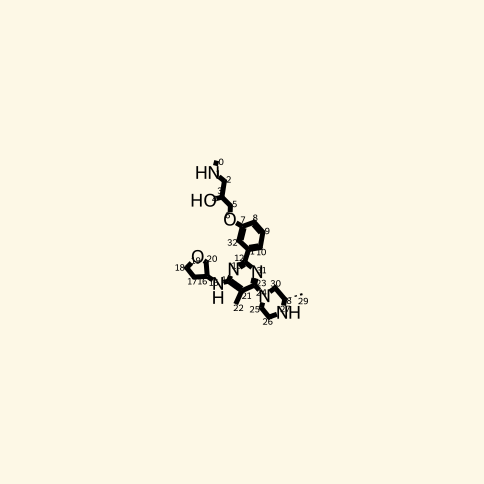 CNCC(O)COc1cccc(-c2nc(NC3CCOC3)c(C)c(N3CCN[C@@H](C)C3)n2)c1